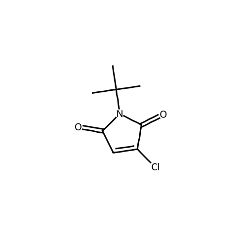 CC(C)(C)N1C(=O)C=C(Cl)C1=O